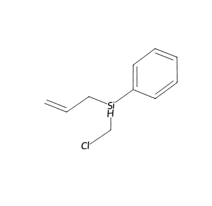 C=CC[SiH](CCl)c1ccccc1